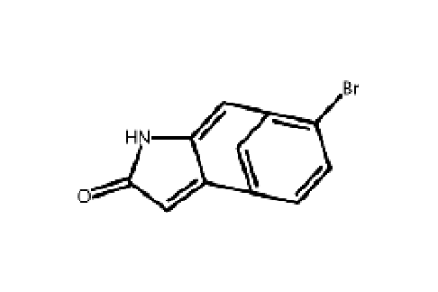 O=C1C=c2c(cc3cc2ccc3Br)N1